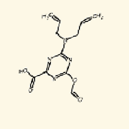 C=CCN(CC=C)c1nc(OC=O)nc(C(=O)O)n1